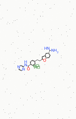 Cl.Cl.N=C(N)c1ccc2oc(CCc3ccc(C(=O)Nc4cnccn4)cc3)cc2c1